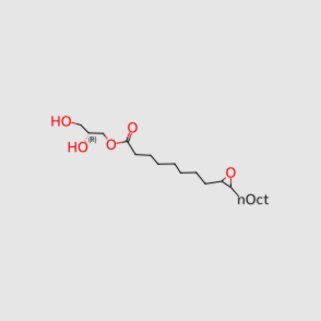 CCCCCCCCC1OC1CCCCCCCC(=O)OC[C@H](O)CO